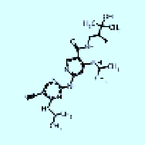 CC(C)Nc1cc(Nc2ncc(C#N)c(NC(C)C)n2)ncc1C(=O)NCC(F)C(C)(C)O